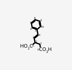 O=C(O)CC(C=Cc1ccccc1)C(=O)O